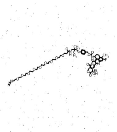 CC[C@@]1(O)C(=O)OCc2c1cc1n(c2=O)Cc2c-1nc1cc(F)c(C)c3c1c2[C@@H](NC(=O)OCc1ccc(SSC(C)(C)CNC(=O)CCOCCOCCOCCOCCOCCOCCOCCOCCOCCN=[N+]=[N-])cc1)CC3